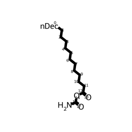 CCCCCCCCCCCCCCCCCCCCCC(=O)OC(N)=O